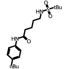 CCCCc1ccc(NC(=O)CCCCNS(=O)(=O)C(C)(C)C)cc1